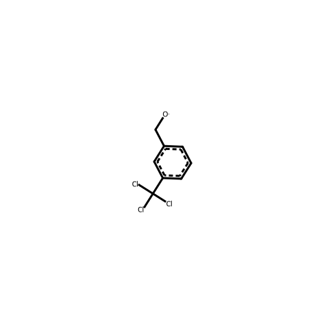 [O]Cc1cccc(C(Cl)(Cl)Cl)c1